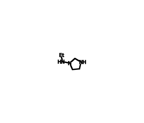 CCNN1CCNC1